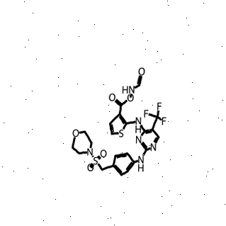 O=CNOC(=O)c1ccsc1Nc1nc(Nc2ccc(CS(=O)(=O)N3CCOCC3)cc2)ncc1C(F)(F)F